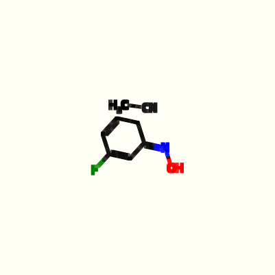 CC#N.ON=C1C=C(F)C=CC1